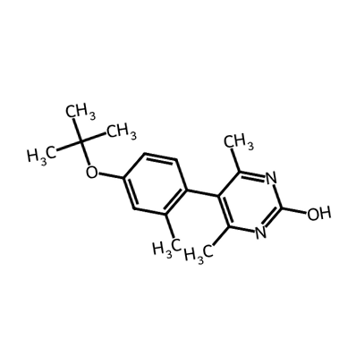 Cc1cc(OC(C)(C)C)ccc1-c1c(C)nc(O)nc1C